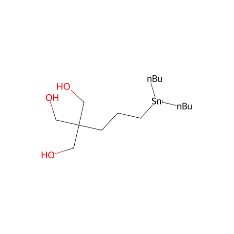 CCC[CH2][Sn]([CH2]CCC)[CH2]CCC(CO)(CO)CO